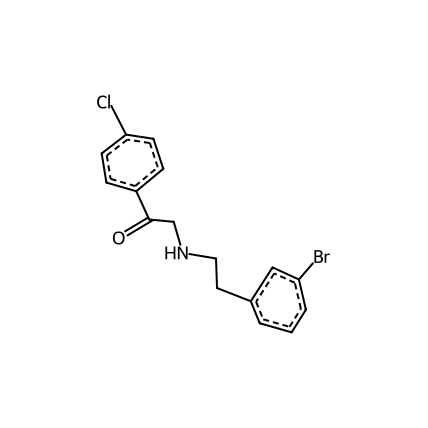 O=C(CNCCc1cccc(Br)c1)c1ccc(Cl)cc1